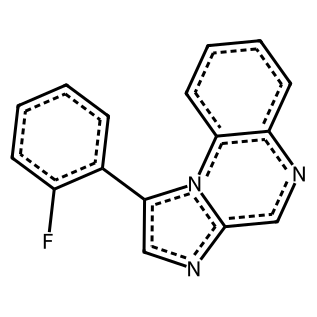 Fc1ccccc1-c1cnc2cnc3ccccc3n12